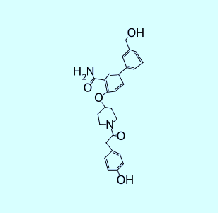 NC(=O)c1cc(-c2cccc(CO)c2)ccc1OC1CCN(C(=O)Cc2ccc(O)cc2)CC1